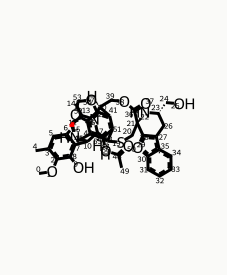 COc1c(C)cc2c(c1O)C1NCC(C)(C2)N2[C@H]1[C@@H]1SC[C@]3(N[C@H](CO)Cc4c3oc3ccccc43)C(=O)OC[C@H]2c2c3c(c(C)c(OC(C)=O)c21)OCO3